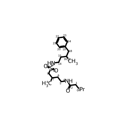 CC(C)CC(=O)NCCC(C)CS(=O)(=O)NCCC(C)Cc1ccccc1